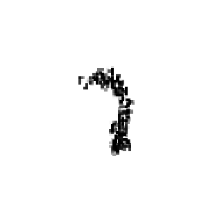 Cc1cc2nn([C@H]3CC[C@H](CN4CCN(c5cccn6c(N7CCC(=O)NC7=O)cnc56)CC4)CC3)cc2cc1NC(=O)c1cccc(C(F)(F)F)n1